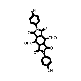 N#Cc1ccc(N2C(=O)C3C(C=O)C4C(=O)N(c5ccc(C#N)cc5)C(=O)C4C(C=O)C3C2=O)cc1